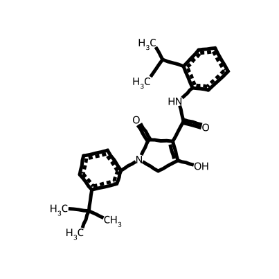 CC(C)c1ccccc1NC(=O)C1=C(O)CN(c2cccc(C(C)(C)C)c2)C1=O